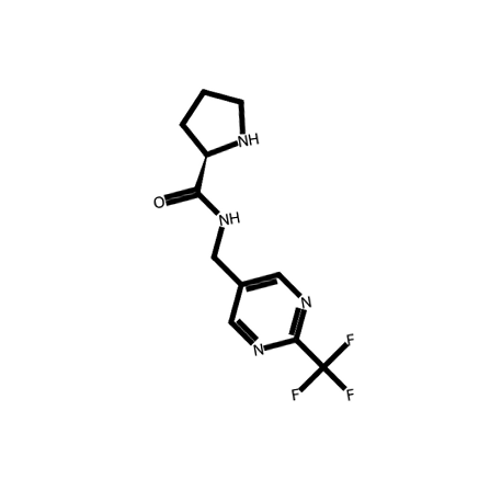 O=C(NCc1cnc(C(F)(F)F)nc1)[C@H]1CCCN1